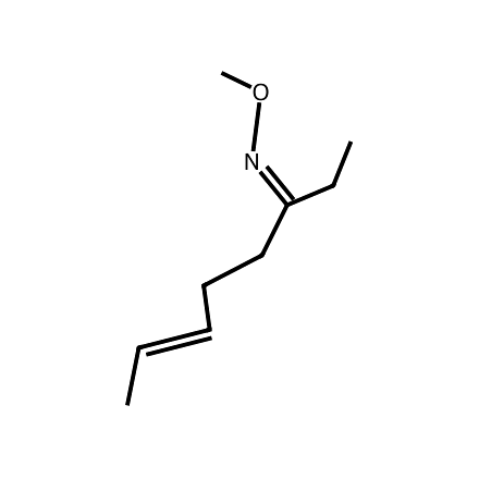 CC=CCCC(CC)=NOC